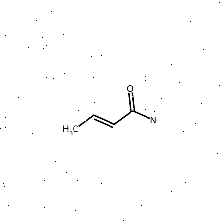 CC=CC([N])=O